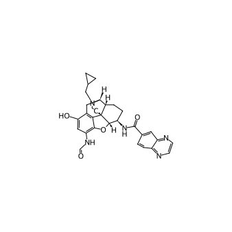 O=CNc1cc(O)c2c3c1O[C@H]1[C@H](NC(=O)c4ccc5nccnc5c4)CC[C@H]4[C@@H](C2)N(CC2CC2)CC[C@@]341